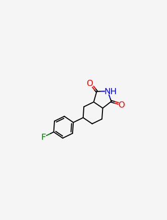 O=C1NC(=O)C2CC(c3ccc(F)cc3)CCC12